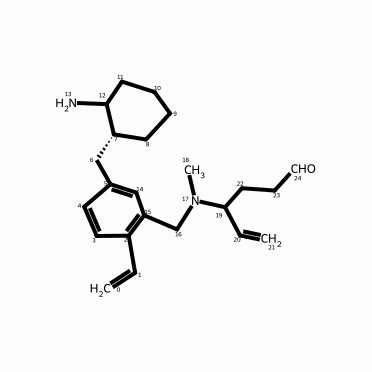 C=Cc1ccc(C[C@H]2CCCCC2N)cc1CN(C)C(C=C)CCC=O